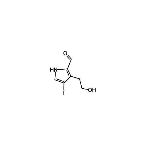 O=Cc1[nH]cc(I)c1CCO